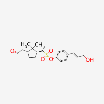 CC1(C)C(CC=O)CC[C@@H]1CS(=O)(=O)Oc1ccc(/C=C/CO)cc1